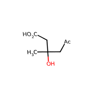 CC(=O)CC(C)(O)CC(=O)O